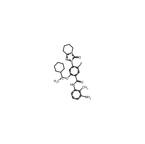 Cc1c(N)cccc1NC(=O)c1cc(F)c(-n2nc3n(c2=O)CCCC3)cc1O[C@@H](C)C1CCCCC1